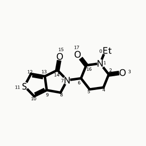 [CH2]CN1C(=O)CCC(N2Cc3cscc3C2=O)C1=O